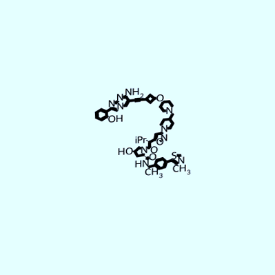 Cc1ncsc1-c1ccc([C@H](C)NC(=O)[C@@H]2C[C@@H](O)CN2C(=O)[C@@H](c2cc(N3CCC(CN4CCC(OC5CC(C#Cc6cn7cc(-c8ccccc8O)nc7nc6N)C5)CC4)CC3)no2)C(C)C)cc1